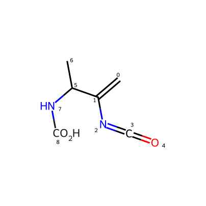 C=C(N=C=O)C(C)NC(=O)O